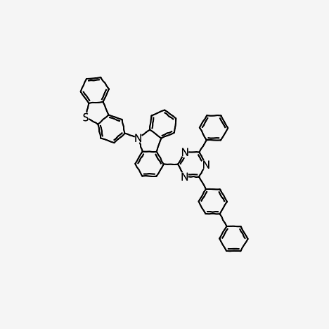 c1ccc(-c2ccc(-c3nc(-c4ccccc4)nc(-c4cccc5c4c4ccccc4n5-c4ccc5sc6ccccc6c5c4)n3)cc2)cc1